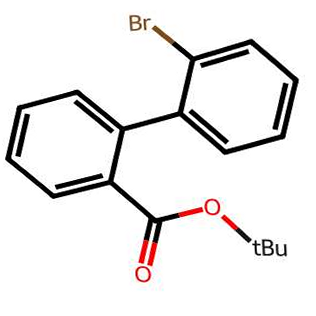 CC(C)(C)OC(=O)c1ccccc1-c1ccccc1Br